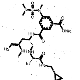 CC[C@H](NC[C@H](C/C(=C/S)NI)NC(=O)c1cc(C(=O)OC)cc(N(C)S(=O)(=O)N(C)C)c1)C(=O)NCC1CC1